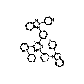 C1=CC(c2nc(-c3cccc(-n4c(-c5ccncc5)nc5ccccc54)c3)nc(-c3ccccc3-c3ccccc3)n2)=CC(n2c(-c3ccncc3)nc3ccccc32)C1